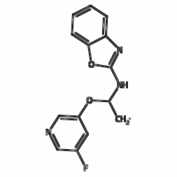 [CH2]C(Nc1nc2ccccc2o1)Oc1cncc(F)c1